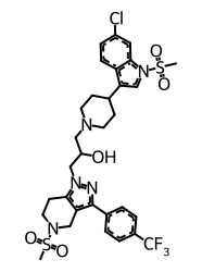 CS(=O)(=O)N1CCc2c(c(-c3ccc(C(F)(F)F)cc3)nn2CC(O)CN2CCC(c3cn(S(C)(=O)=O)c4cc(Cl)ccc34)CC2)C1